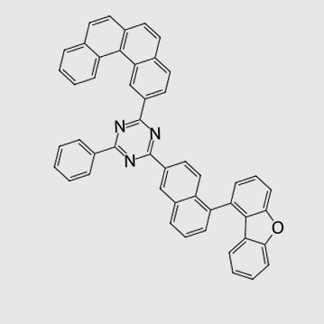 c1ccc(-c2nc(-c3ccc4c(-c5cccc6oc7ccccc7c56)cccc4c3)nc(-c3ccc4ccc5ccc6ccccc6c5c4c3)n2)cc1